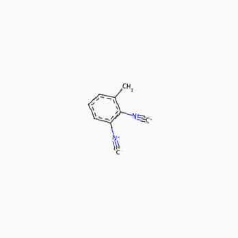 [C-]#[N+]c1cccc(C)c1[N+]#[C-]